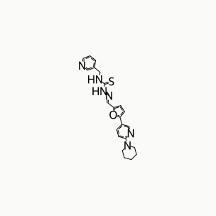 S=C(NCc1cccnc1)NN=Cc1ccc(-c2ccc(N3CCCCC3)nc2)o1